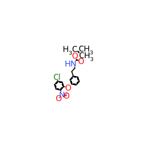 CC(C)(C)OC(=O)NCCc1cccc(Oc2cc(Cl)ccc2[N+](=O)[O-])c1